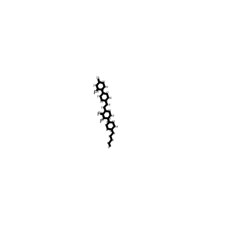 CCCCCC1CCC(C2CCC(CCC3CCC(C4CCC(C)CC4F)CC3)C(F)[C@@H]2F)CC1